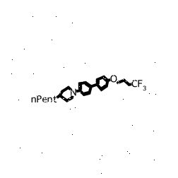 CCCCCC1CCN(c2ccc(-c3ccc(OCCCC(F)(F)F)cc3)cc2)CC1